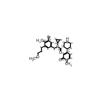 COCCCc1cc(CN(C(=O)[C@@H]2CNCC[C@H]2c2ccn(C)c(=O)c2)C2CC2)cc(Br)c1C